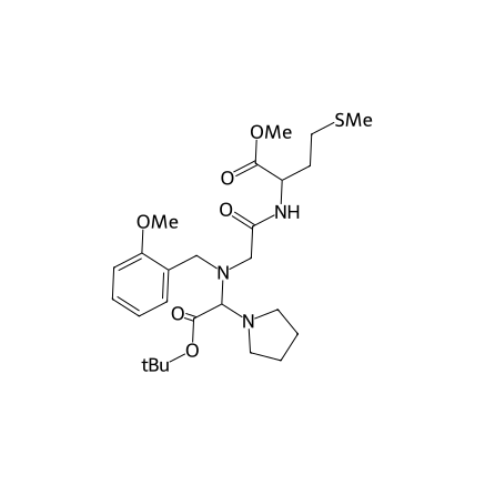 COC(=O)C(CCSC)NC(=O)CN(Cc1ccccc1OC)C(C(=O)OC(C)(C)C)N1CCCC1